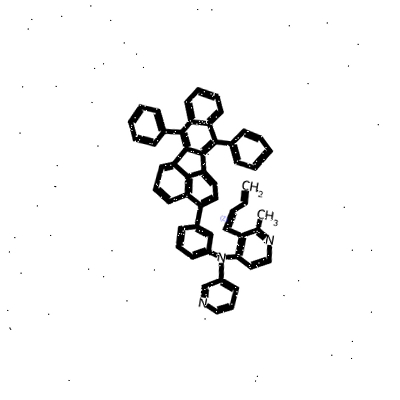 C=C/C=C\c1c(N(c2cccnc2)c2cccc(-c3ccc4c5c(cccc35)-c3c-4c(-c4ccccc4)c4ccccc4c3-c3ccccc3)c2)ccnc1C